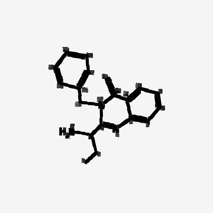 BC(CC)C1=Nc2ccccc2C(=C)N1Cc1ccccc1